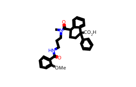 COc1ccccc1C(=O)NCCCN(C)C(=O)C1CCC(C(=O)O)(c2ccccc2)c2ccccc21